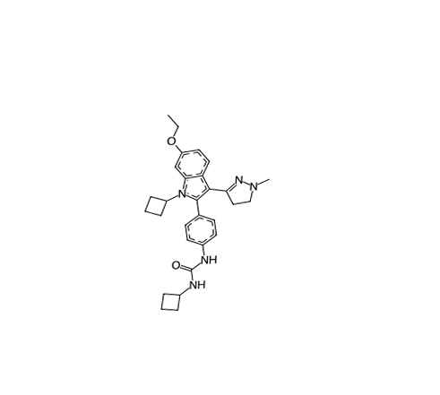 CCOc1ccc2c(C3=NN(C)CC3)c(-c3ccc(NC(=O)NC4CCC4)cc3)n(C3CCC3)c2c1